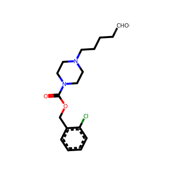 O=[C]CCCCN1CCN(C(=O)OCc2ccccc2Cl)CC1